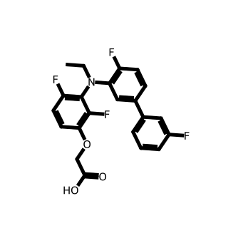 CCN(c1cc(-c2cccc(F)c2)ccc1F)c1c(F)ccc(OCC(=O)O)c1F